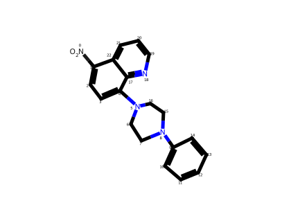 O=[N+]([O-])c1ccc(N2CCN(c3ccccc3)CC2)c2ncccc12